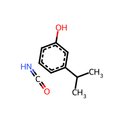 CC(C)c1cccc(O)c1.N=C=O